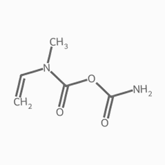 C=CN(C)C(=O)OC(N)=O